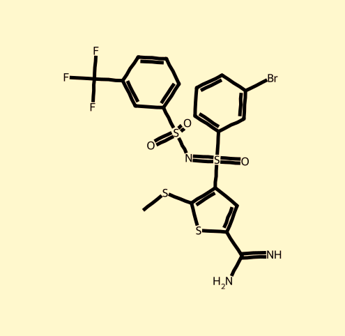 CSc1sc(C(=N)N)cc1S(=O)(=NS(=O)(=O)c1cccc(C(F)(F)F)c1)c1cccc(Br)c1